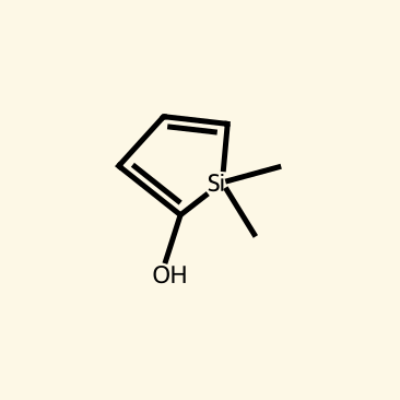 C[Si]1(C)C=CC=C1O